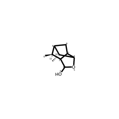 C[C@@H]1C2C(O)OC3C2CC1[C@H]3C